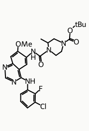 COc1cc2ncnc(Nc3cccc(Cl)c3F)c2cc1NC(=O)N1CCN(C(=O)OC(C)(C)C)CC1C